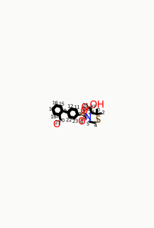 CC1(C)SCCN(S(=O)(=O)c2ccc(-c3ccccc3C=O)cc2)C1C(=O)O